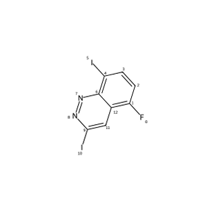 Fc1ccc(I)c2nnc(I)cc12